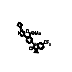 COC(=O)c1cc(NC(=O)C2(c3ccc(C(F)(F)F)cc3)CC2)ccc1-c1cnn(C2CCC2)c1